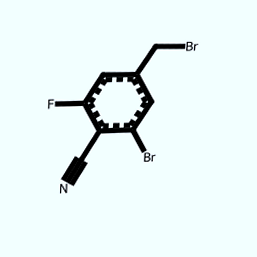 N#Cc1c(F)cc(CBr)cc1Br